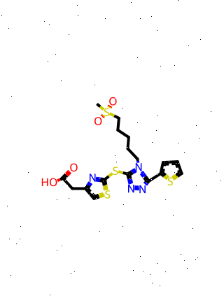 CS(=O)(=O)CCCCCn1c(Sc2nc(CC(=O)O)cs2)nnc1-c1cccs1